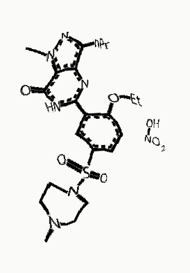 CCCc1nn(C)c2c(=O)[nH]c(-c3cc(S(=O)(=O)N4CCN(C)CC4)ccc3OCC)nc12.O=[N+]([O-])O